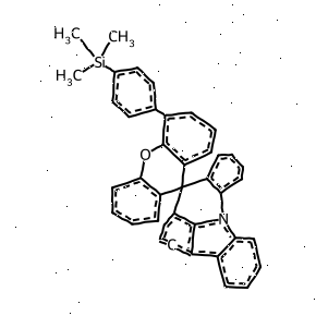 C[Si](C)(C)c1ccc(-c2cccc3c2Oc2ccccc2C32c3ccccc3-n3c4ccccc4c4cccc2c43)cc1